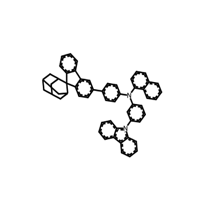 c1cc(N(c2ccc(-c3ccc4c(c3)-c3ccccc3C43C4CC5CC(C4)CC3C5)cc2)c2cccc3ccccc23)cc(-n2c3ccccc3c3ccccc32)c1